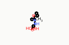 Cc1c(C(=O)c2cccc3ccccc23)c2ccccc2n1CCNc1ccc(C(=O)O)c(O)c1